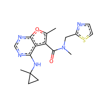 Cc1oc2ncnc(NC3(C)CC3)c2c1C(=O)N(C)Cc1nccs1